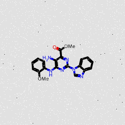 COC(=O)c1nc(-n2cnc3ccccc32)nc(Nc2ccccc2OC)c1N